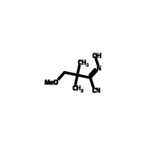 COCC(C)(C)/C(C#N)=N\O